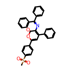 CS(=O)(=O)c1ccc(-c2cc(-c3ccccc3)c(N=C(c3ccccc3)c3ccccc3)c(=O)o2)cc1